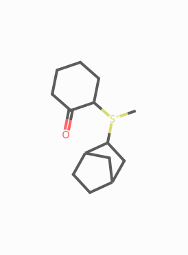 C[S+](C1CCCCC1=O)C1CC2CCC1C2